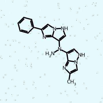 Cc1cn2[nH]cc(N(N)c3c[nH]n4cc(-c5ccccc5)nc34)c2n1